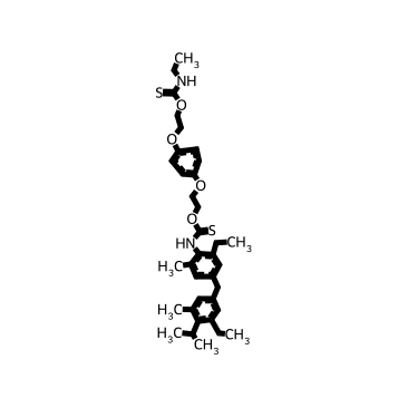 CCNC(=S)OCCOc1ccc(OCCOC(=S)Nc2c(C)cc(Cc3cc(C)c(C(C)C)c(CC)c3)cc2CC)cc1